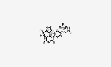 CNC[C@@H](c1ccc(-c2c(C)nc(C)c3[nH]c(=O)c4sccc4c23)cc1)C(F)(F)F